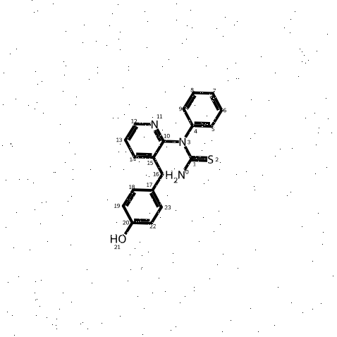 NC(=S)N(c1ccccc1)c1ncccc1Cc1ccc(O)cc1